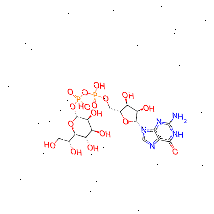 Nc1nc2c(ncn2[C@@H]2O[C@H](COP(=O)(O)OP(=O)(O)O[C@H]3O[C@H]([C@H](O)CO)[C@@H](O)[C@H](O)[C@@H]3O)[C@@H](O)[C@H]2O)c(=O)[nH]1